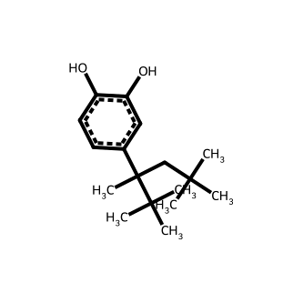 CC(C)(C)CC(C)(c1ccc(O)c(O)c1)C(C)(C)C